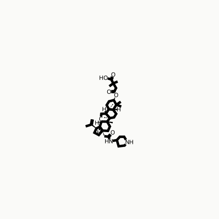 C=C(C)[C@@H]1CC[C@]2(CC(=O)NC3CCNCC3)CC[C@]3(C)[C@H](CC[C@@H]4[C@@]5(C)CC[C@H](OC(=O)CC(C)(C)C(=O)O)C(C)(C)[C@@H]5CC[C@]43C)[C@@H]12